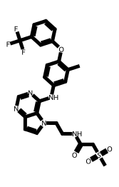 Cc1cc(Nc2ncnc3ccn(CCNC(=O)CS(C)(=O)=O)c23)ccc1Oc1cccc(C(F)(F)F)c1